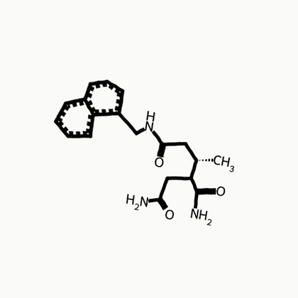 C[C@@H](CC(=O)NCc1cccc2ccccc12)C(CC(N)=O)C(N)=O